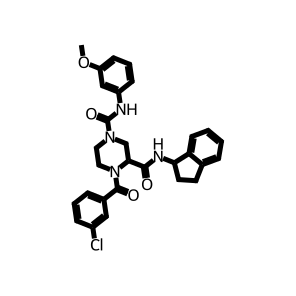 COc1cccc(NC(=O)N2CCN(C(=O)c3cccc(Cl)c3)C(C(=O)NC3CCc4ccccc43)C2)c1